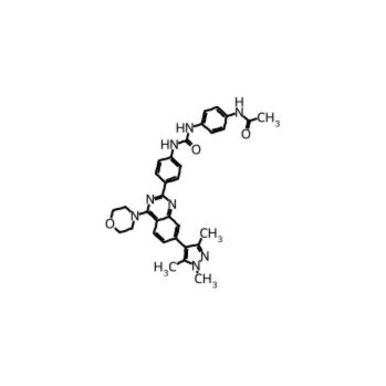 CC(=O)Nc1ccc(NC(=O)Nc2ccc(-c3nc(N4CCOCC4)c4ccc(-c5c(C)nn(C)c5C)cc4n3)cc2)cc1